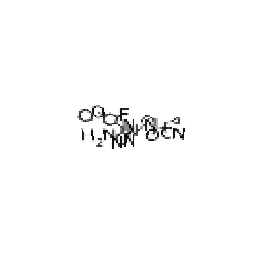 N#CC(=CC1CC1)C(=O)N1CCCC1Cn1nc(-c2ccc(Oc3ccccc3)cc2F)c2c(N)ncnc21